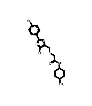 CCc1ccc(-c2nc(CSCC(=O)NC3CCC(C)CC3)c(C)o2)cc1